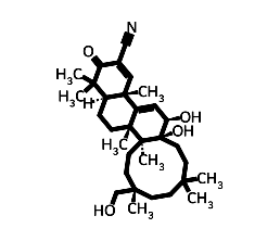 CC1(C)CC[C@](C)(CO)CC[C@]2(C)[C@@](O)(CC1)[C@H](O)C=C1[C@@]3(C)C=C(C#N)C(=O)C(C)(C)[C@@H]3CC[C@]12C